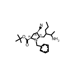 CCCC(C[C@@H]1[C@H](C#N)C[C@H](C(=O)OC(C)(C)C)N1Cc1ccccc1)C(C)N